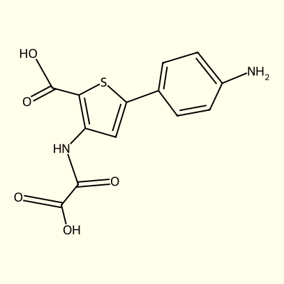 Nc1ccc(-c2cc(NC(=O)C(=O)O)c(C(=O)O)s2)cc1